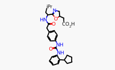 CC(C)CC(NC(=O)Cc1ccc(NC(=O)Nc2ccccc2C2CCCC2)cc1)C1=NCC(CC(=O)O)O1